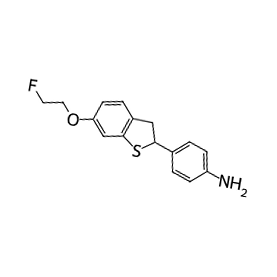 Nc1ccc(C2Cc3ccc(OCCF)cc3S2)cc1